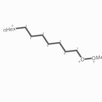 CCCCCCCCCCCCCOOC